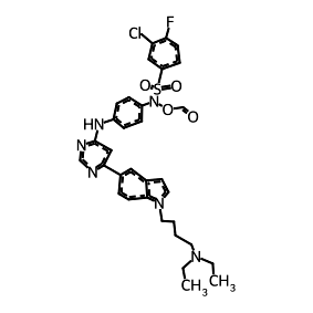 CCN(CC)CCCCn1ccc2cc(-c3cc(Nc4ccc(N(OC=O)S(=O)(=O)c5ccc(F)c(Cl)c5)cc4)ncn3)ccc21